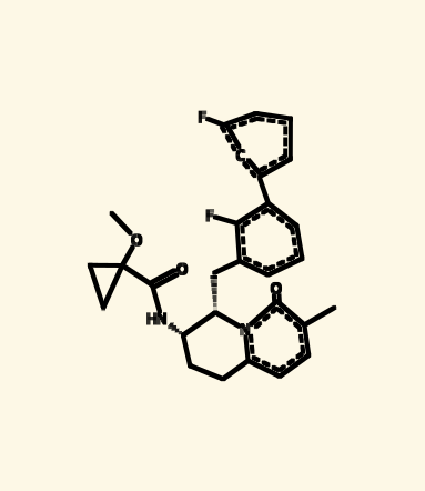 COC1(C(=O)N[C@H]2CCc3ccc(C)c(=O)n3[C@H]2Cc2cccc(-c3cccc(F)c3)c2F)CC1